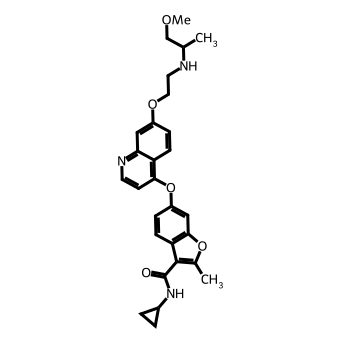 COCC(C)NCCOc1ccc2c(Oc3ccc4c(C(=O)NC5CC5)c(C)oc4c3)ccnc2c1